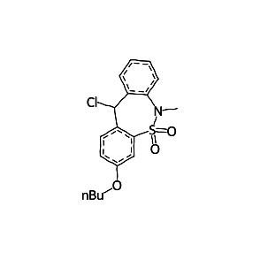 CCCCOc1ccc2c(c1)S(=O)(=O)N(C)c1ccccc1C2Cl